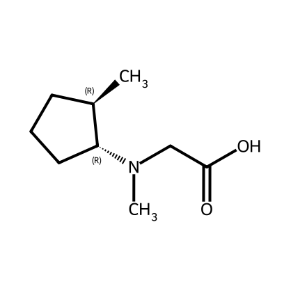 C[C@@H]1CCC[C@H]1N(C)CC(=O)O